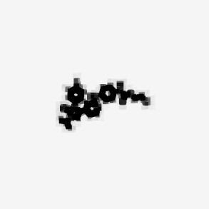 CC(C)n1cc(-c2ccnc(N[C@H]3CC[C@H](NC(=O)OCCCl)CC3)n2)n(-c2ccc(F)cc2)c1=O